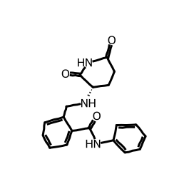 O=C1CC[C@H](NCc2ccccc2C(=O)Nc2ccccc2)C(=O)N1